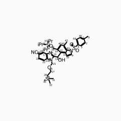 Cc1ccc(S(=O)(=O)n2ccc3c(C(O)c4nc5cc(C#N)ccc5n4COCC[Si](C)(C)C)c(CO[Si](C(C)C)(C(C)C)C(C)C)cc(C)c32)cc1